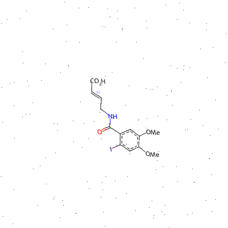 COc1cc(I)c(C(=O)NC/C=C/C(=O)O)cc1OC